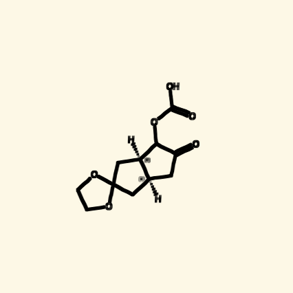 O=C(O)OC1C(=O)C[C@H]2CC3(C[C@@H]12)OCCO3